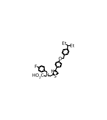 CCC(CC)c1ccc(COc2ccc(-c3csc(CN(CC(=O)O)Cc4ccc(F)cc4)n3)cc2)cc1